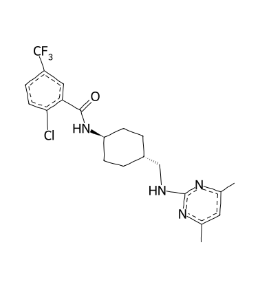 Cc1cc(C)nc(NC[C@H]2CC[C@H](NC(=O)c3cc(C(F)(F)F)ccc3Cl)CC2)n1